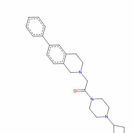 O=C(CN1CCc2cc(-c3ccccc3)ccc2C1)N1CCN(C2CCC2)CC1